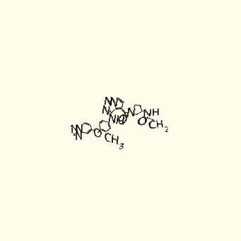 C=CC(=O)NC1CCN(C(=O)c2ccn3ncnc(Nc4ccc(Oc5ccn6ncnc6c5)c(C)c4)c23)C1